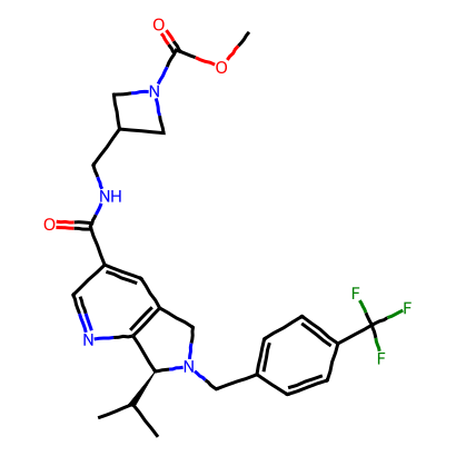 COC(=O)N1CC(CNC(=O)c2cnc3c(c2)CN(Cc2ccc(C(F)(F)F)cc2)[C@H]3C(C)C)C1